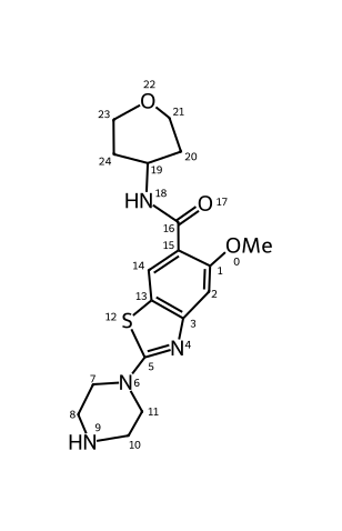 COc1cc2nc(N3CCNCC3)sc2cc1C(=O)NC1CCOCC1